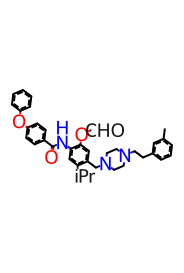 Cc1cccc(CCN2CCN(Cc3cc(OC=O)c(NC(=O)c4ccc(Oc5ccccc5)cc4)cc3C(C)C)CC2)c1